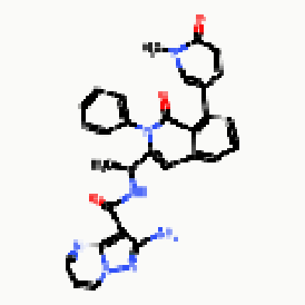 C[C@H](NC(=O)c1c(N)nn2cccnc12)c1cc2cccc(-c3ccc(=O)n(C)c3)c2c(=O)n1-c1ccccc1